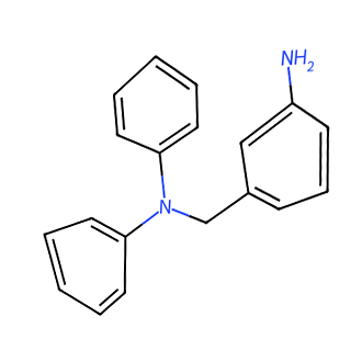 Nc1cccc(CN(c2ccccc2)c2ccccc2)c1